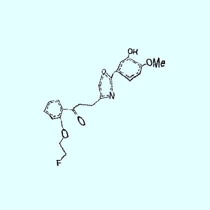 COc1ccc(-c2nc(CCC(=O)c3ccccc3OCCF)co2)cc1O